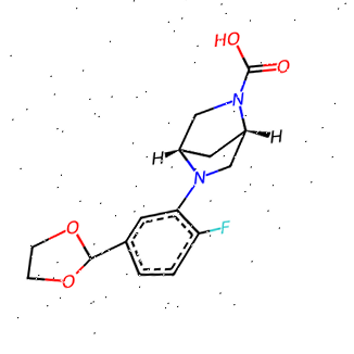 O=C(O)N1C[C@@H]2C[C@H]1CN2c1cc(C2OCCO2)ccc1F